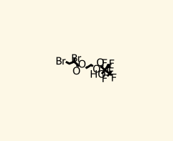 O=C(OCCOC(=O)C(O)(C(F)(F)F)C(F)(F)F)C(Br)CBr